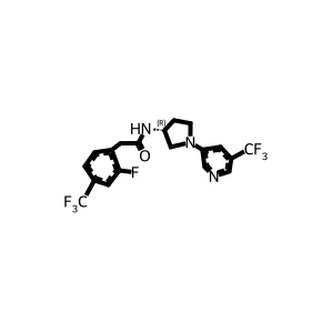 O=C(Cc1ccc(C(F)(F)F)cc1F)N[C@@H]1CCN(c2cncc(C(F)(F)F)c2)C1